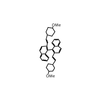 COC1CCC(/C=C/c2ccc3ccccc3c2-c2c(/C=C/C3CCC(OC)CC3)ccc3ccccc23)CC1